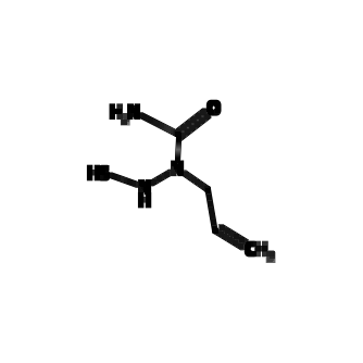 C=CCN(NS)C(N)=O